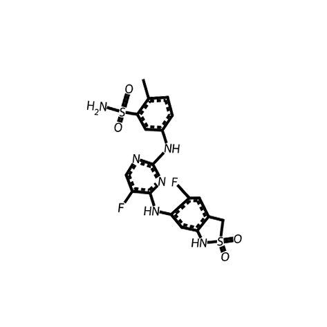 Cc1ccc(Nc2ncc(F)c(Nc3cc4c(cc3F)CS(=O)(=O)N4)n2)cc1S(N)(=O)=O